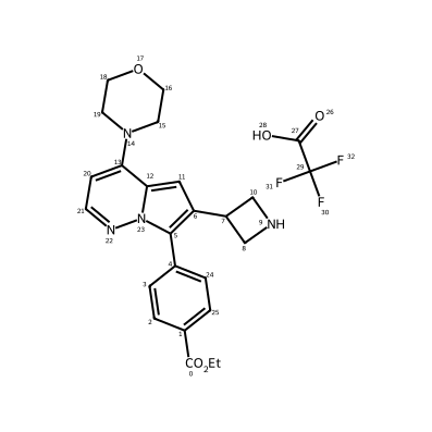 CCOC(=O)c1ccc(-c2c(C3CNC3)cc3c(N4CCOCC4)ccnn23)cc1.O=C(O)C(F)(F)F